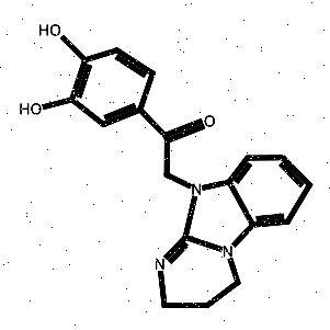 O=C(CN1C2=NCCCN2c2ccccc21)c1ccc(O)c(O)c1